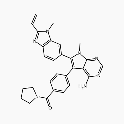 C=Cc1nc2ccc(-c3c(-c4ccc(C(=O)N5CCCC5)cc4)c4c(N)ncnc4n3C)cc2n1C